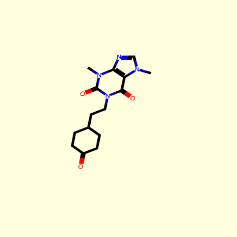 Cn1cnc2c1c(=O)n(CCC1CCC(=O)CC1)c(=O)n2C